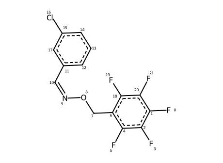 Fc1c(F)c(F)c(CO/N=[C]\c2cccc(Cl)c2)c(F)c1F